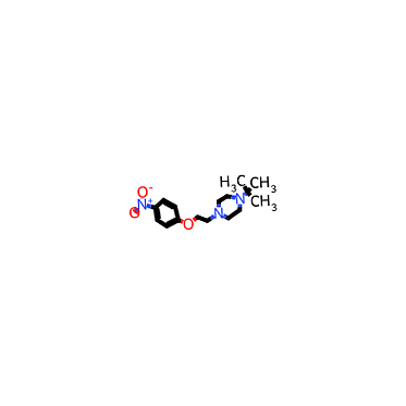 CC(C)(C)N1CCN(CCOc2ccc([N+](=O)[O-])cc2)CC1